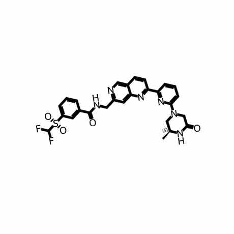 C[C@H]1CN(c2cccc(-c3ccc4cnc(CNC(=O)c5cccc(S(=O)(=O)C(F)F)c5)cc4n3)n2)CC(=O)N1